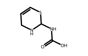 O=C(O)NC1NCC=CS1